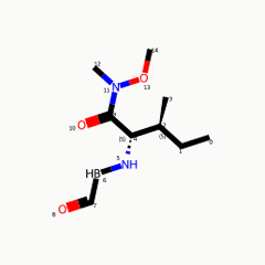 CC[C@H](C)[C@H](NBC=O)C(=O)N(C)OC